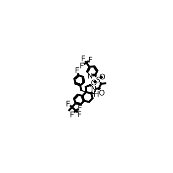 CC(C(=O)N1CC[C@@]2(Cc3ccc(F)cc3)c3ccc(C(C)(F)C(F)(F)F)cc3CC[C@@H]12)S(=O)(=O)c1ccc(C(F)(F)F)cn1